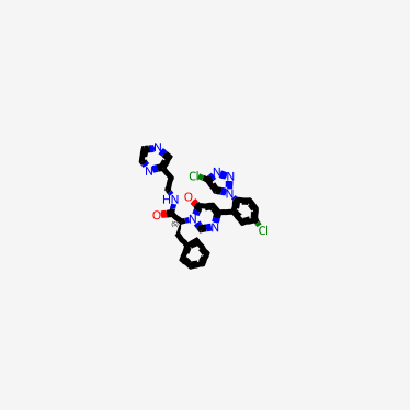 O=C(NCCc1cnccn1)[C@H](Cc1ccccc1)n1cnc(-c2cc(Cl)ccc2-n2cc(Cl)nn2)cc1=O